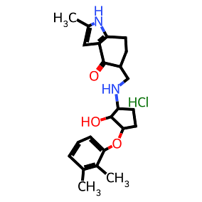 Cc1cc2c([nH]1)CCC(CNC1CCC(Oc3cccc(C)c3C)C1O)C2=O.Cl